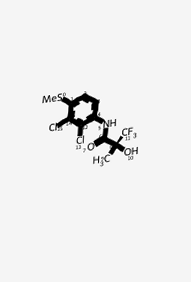 CSc1ccc(NC(=O)[C@@](C)(O)C(F)(F)F)c(Cl)c1Cl